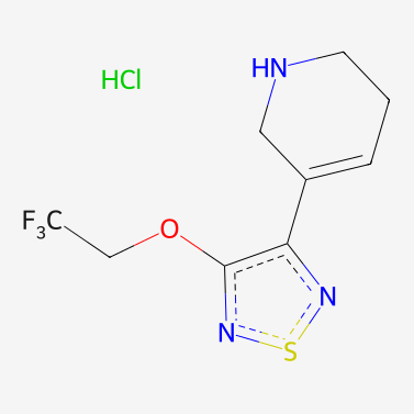 Cl.FC(F)(F)COc1nsnc1C1=CCCNC1